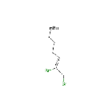 CCCCCCC/C=C(\Br)CBr